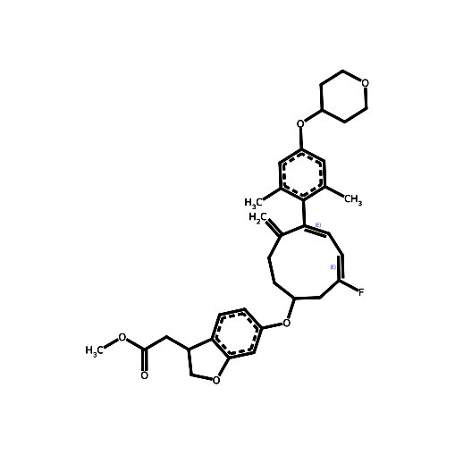 C=C1CCC(Oc2ccc3c(c2)OCC3CC(=O)OC)C/C(F)=C\C=C/1c1c(C)cc(OC2CCOCC2)cc1C